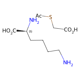 CC(=O)SCC(=O)O.NCCCC[C@H](N)C(=O)O